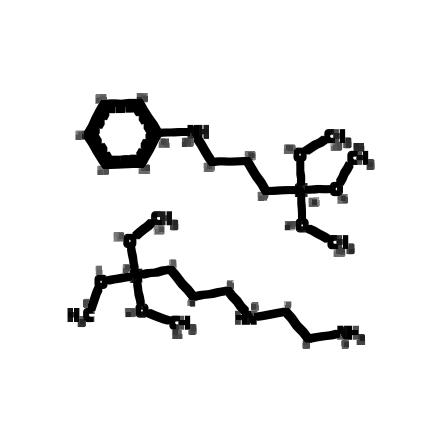 CO[Si](CCCNCCN)(OC)OC.CO[Si](CCCNc1ccccc1)(OC)OC